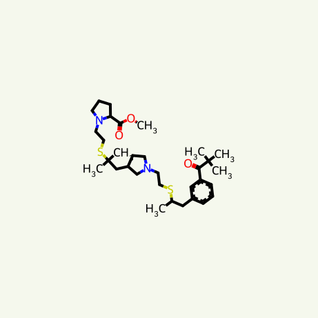 COC(=O)C1CCCN1CCSC(C)(C)CC1CCN(CCSC(C)Cc2cccc(C(=O)C(C)(C)C)c2)C1